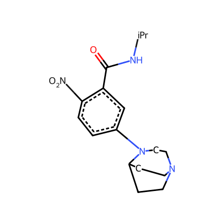 CC(C)NC(=O)c1cc(N2CCN3CCC2CC3)ccc1[N+](=O)[O-]